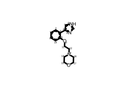 c1ccc(-c2c[nH]cn2)c(OCCN2CCOCC2)c1